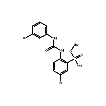 CCC(C)OP(=O)(O)c1cc(Br)ccc1NC(=O)Nc1cccc(Br)c1